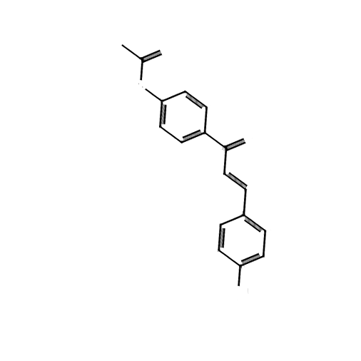 CC(=O)Nc1ccc(C(=O)/C=C/c2ccc(O)cc2)cc1